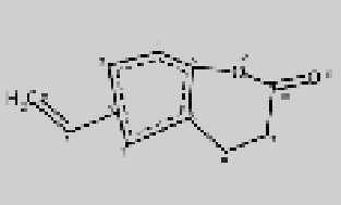 C=Cc1ccc2c(c1)CCC(=O)O2